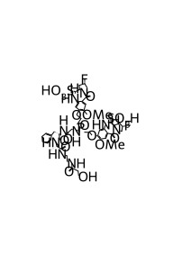 COc1cc2c(cc1OCCP(=O)(CCOc1cc3c(cc1OC)C(=O)N1C[C@H](F)C[C@H]1C(S(=O)(=O)O)N3)NCC(=O)N[C@@H](Cc1ccccc1)C(=O)N[C@@H](C)C(=O)NCCNC(=O)CCO)NC(S(=O)(=O)O)[C@@H]1C[C@@H](F)CN1C2=O